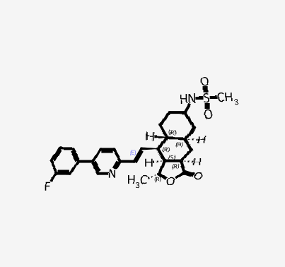 C[C@H]1OC(=O)[C@@H]2C[C@@H]3CC(NS(C)(=O)=O)CC[C@H]3[C@H](/C=C/c3ccc(-c4cccc(F)c4)cn3)[C@H]12